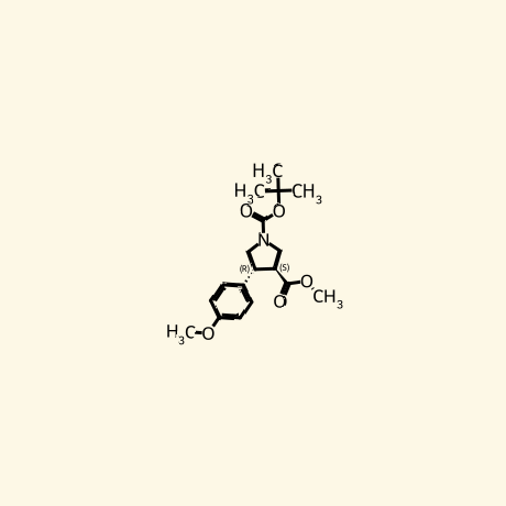 COC(=O)[C@@H]1CN(C(=O)OC(C)(C)C)C[C@H]1c1ccc(OC)cc1